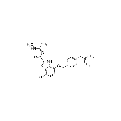 CNC(N)=NC(=O)c1cc2c(Cl)ccc(OCc3ccc(CN(C)C)cc3)c2[nH]1